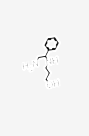 NCC(NCCCO)c1ccccc1